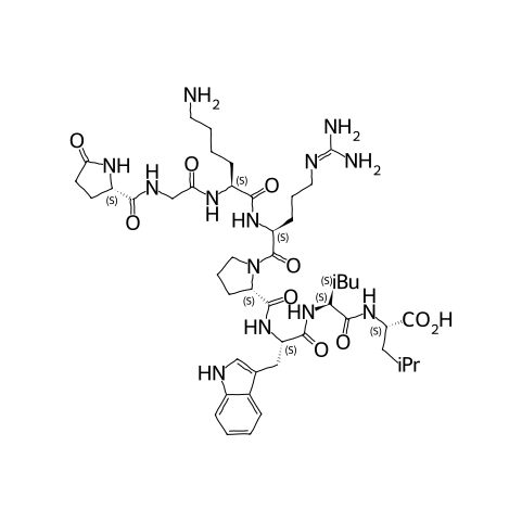 CC[C@H](C)[C@H](NC(=O)[C@H](Cc1c[nH]c2ccccc12)NC(=O)[C@@H]1CCCN1C(=O)[C@H](CCCN=C(N)N)NC(=O)[C@H](CCCCN)NC(=O)CNC(=O)[C@@H]1CCC(=O)N1)C(=O)N[C@@H](CC(C)C)C(=O)O